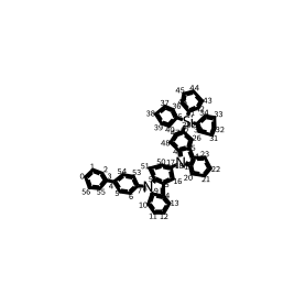 c1ccc(-c2ccc(-n3c4ccccc4c4cc(-n5c6ccccc6c6cc([Si](c7ccccc7)(c7ccccc7)c7ccccc7)ccc65)ccc43)cc2)cc1